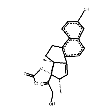 CCC(=O)O[C@@]1(C(=O)CO)[C@@H](C)C=C2c3ccc4cc(O)ccc4c3CC[C@@]21C